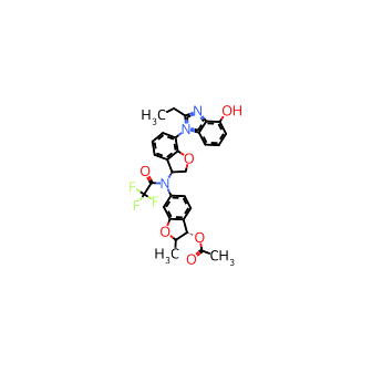 CCc1nc2c(O)cccc2n1-c1cccc2c1OC[C@H]2N(C(=O)C(F)(F)F)c1ccc2c(c1)OC(C)[C@H]2OC(C)=O